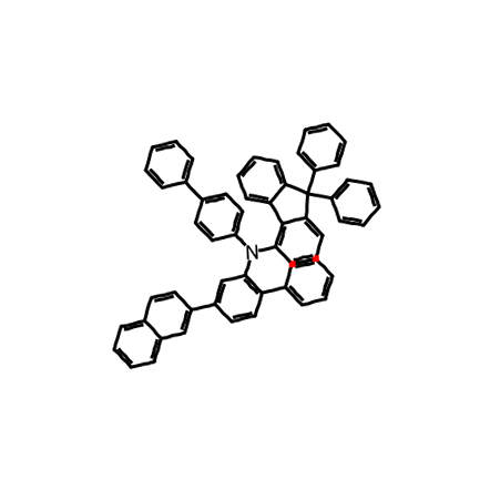 c1ccc(-c2ccc(N(c3cc(-c4ccc5ccccc5c4)ccc3-c3ccccc3)c3cccc4c3-c3ccccc3C4(c3ccccc3)c3ccccc3)cc2)cc1